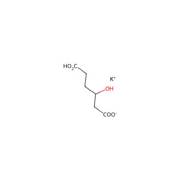 O=C([O-])CC(O)CCC(=O)O.[K+]